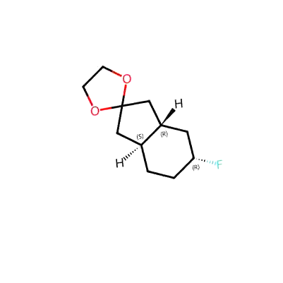 F[C@@H]1CC[C@H]2CC3(C[C@@H]2C1)OCCO3